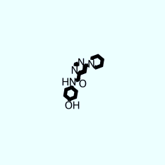 O=C(NC1CCC(O)CC1)c1cc(N2CCCCC2)ncn1